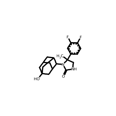 CC1(c2ccc(F)c(F)c2)CNC(=O)N1C1C2CC3CC1CC(O)(C3)C2